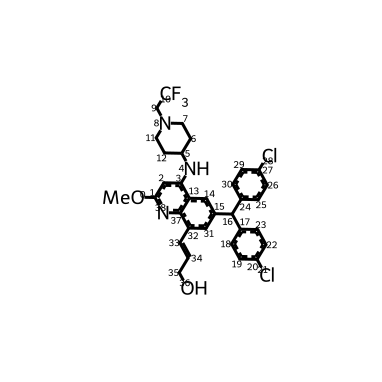 COc1cc(NC2CCN(CC(F)(F)F)CC2)c2cc(C(c3ccc(Cl)cc3)c3ccc(Cl)cc3)cc(/C=C/CO)c2n1